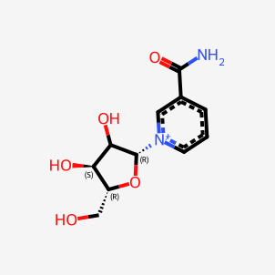 NC(=O)c1ccc[n+]([C@@H]2O[C@H](CO)[C@@H](O)C2O)c1